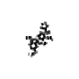 Cc1cc(C(CC([NH])=O)(C(=O)O)c2cccc(CN)c2)ccc1C(=O)N1CCCC1